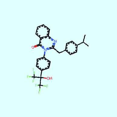 CC(C)c1ccc(Cc2nc3ccccc3c(=O)n2-c2ccc(C(O)(C(F)(F)F)C(F)(F)F)cc2)cc1